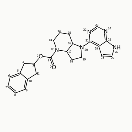 O=C(OC1Cc2ccccc2C1)N1CCCC2C1CCN2c1ncnc2[nH]ccc12